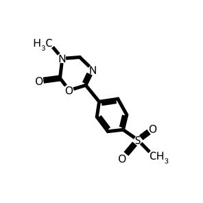 CN1CN=C(c2ccc(S(C)(=O)=O)cc2)OC1=O